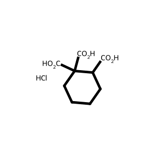 Cl.O=C(O)C1CCCCC1(C(=O)O)C(=O)O